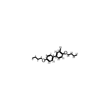 CCCCOc1ccc(-c2ccc(OCCCC)c(C)c2)cc1